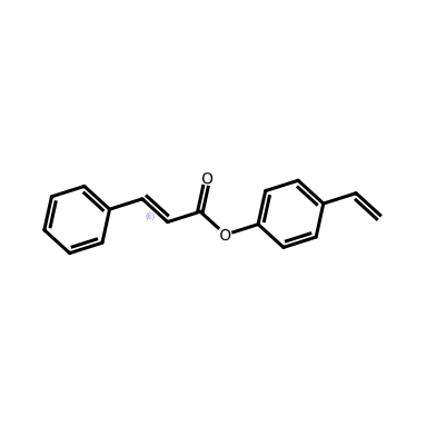 C=Cc1ccc(OC(=O)/C=C/c2ccccc2)cc1